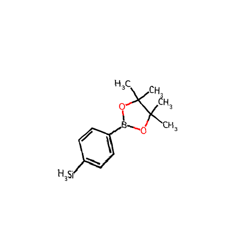 CC1(C)OB(c2ccc([SiH3])cc2)OC1(C)C